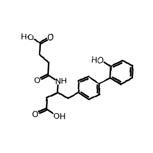 O=C(O)CCC(=O)NC(CC(=O)O)Cc1ccc(-c2ccccc2O)cc1